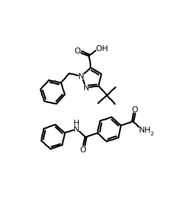 CC(C)(C)c1cc(C(=O)O)n(Cc2ccccc2)n1.NC(=O)c1ccc(C(=O)Nc2ccccc2)cc1